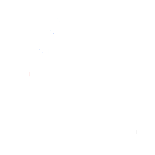 CCCCCCCCCCCCCCCCCC1=NCCN1CCNCCC(=O)O